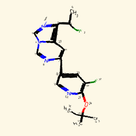 CC(F)c1ncn2cnc(-c3cnc(OC(C)(C)C(F)(F)F)c(F)c3)cc12